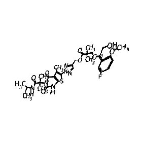 COc1ccc(F)cc1[C@H](CO)OCC(C)(C)C(=O)OCc1cnn(-c2sc3[nH]c(=O)n(C(C)(C)C(=O)NC(C)C)c(=O)c3c2C)n1